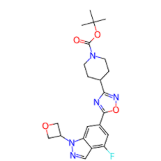 CC(C)(C)OC(=O)N1CCC(c2noc(-c3cc(F)c4cnn(C5COC5)c4c3)n2)CC1